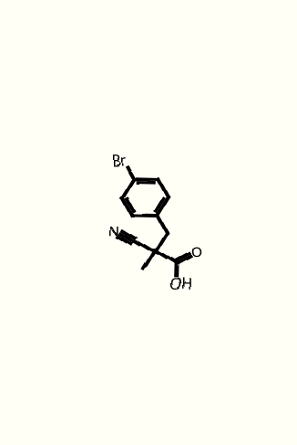 CC(C#N)(Cc1ccc(Br)cc1)C(=O)O